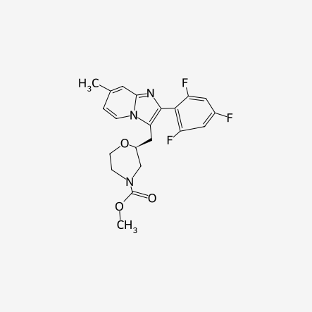 COC(=O)N1CCO[C@@H](Cc2c(-c3c(F)cc(F)cc3F)nc3cc(C)ccn23)C1